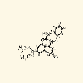 CCN(CC)c1ccc2c(N3Cc4ccccc4NC3=O)cc(=O)oc2c1